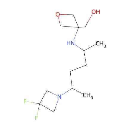 CC(CCC(C)N1CC(F)(F)C1)NC1(CO)COC1